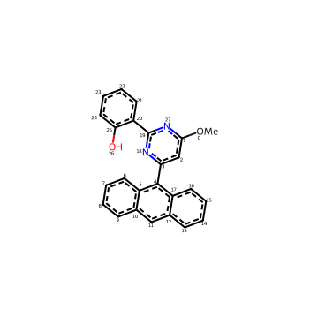 COc1cc(-c2c3ccccc3cc3ccccc23)nc(-c2ccccc2O)n1